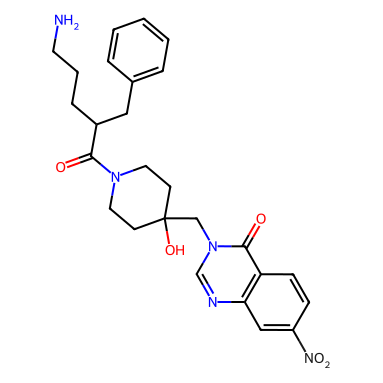 NCCCC(Cc1ccccc1)C(=O)N1CCC(O)(Cn2cnc3cc([N+](=O)[O-])ccc3c2=O)CC1